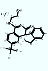 C[C@H](CO)NC1=NC(=O)[C@]2(CCc3ccccc32)c2nc(C(F)(F)F)ccc21